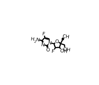 C#CC1(CO)OC(n2cc(F)c(N)nc2=O)C(F)C1O